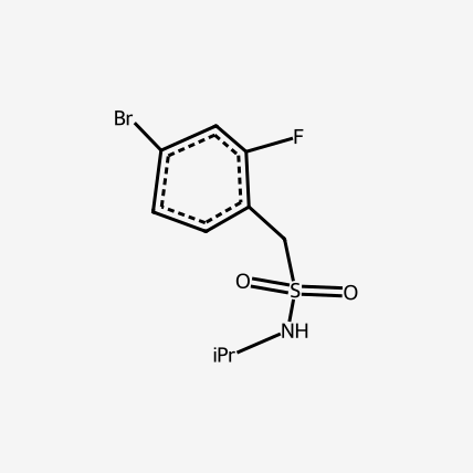 CC(C)NS(=O)(=O)Cc1ccc(Br)cc1F